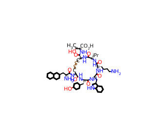 CC(C)[C@@H]1NC(=O)[C@H](CCCCN)NC(=O)[C@@H](Cc2c[nH]c3ccccc23)NC(=O)[C@H](Cc2ccc(O)cc2)NC(=O)[C@@H](NC(=O)[C@H](N)Cc2ccc3ccccc3c2)CSSC[C@@H](C(=O)N[C@H](C(=O)O)[C@@H](C)O)NC1=O